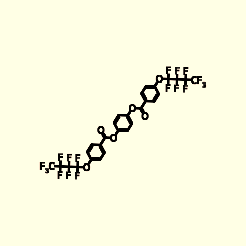 O=C(Oc1ccc(OC(=O)c2ccc(OC(F)(F)C(F)(F)C(F)(F)C(F)(F)F)cc2)cc1)c1ccc(OC(F)(F)C(F)(F)C(F)(F)C(F)(F)F)cc1